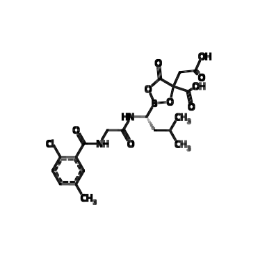 Cc1ccc(Cl)c(C(=O)NCC(=O)N[C@@H](CC(C)C)B2OC(=O)C(CC(=O)O)(C(=O)O)O2)c1